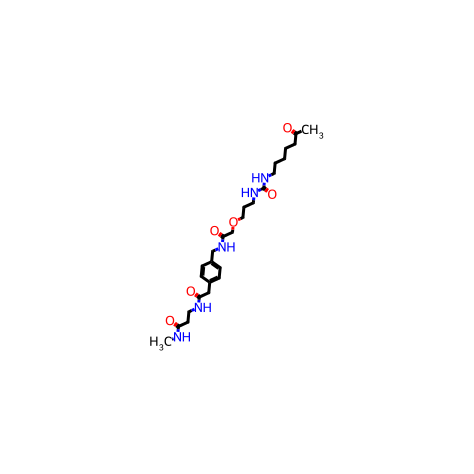 CNC(=O)CCNC(=O)Cc1ccc(CNC(=O)COCCCNC(=O)NCCCCCC(C)=O)cc1